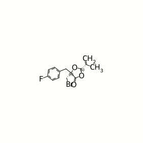 C=C(C)[C@@H]1OC(=O)[C@@](CBr)(Cc2ccc(F)cc2)O1